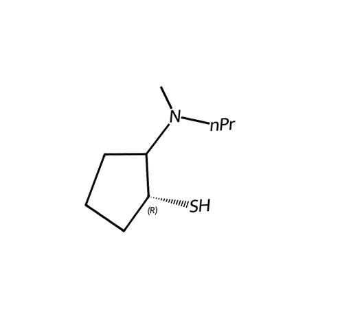 CCCN(C)C1CCC[C@H]1S